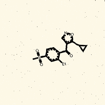 CCc1cc(S(C)(=O)=O)ccc1C(=O)c1cnoc1C1CC1